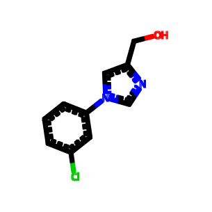 OCc1cn(-c2cccc(Cl)c2)cn1